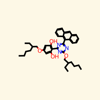 CCCCC(CC)COc1cc(O)c(-c2nc(OCC(CC)CCCC)nc(-c3c4ccccc4cc4ccccc34)n2)c(O)c1